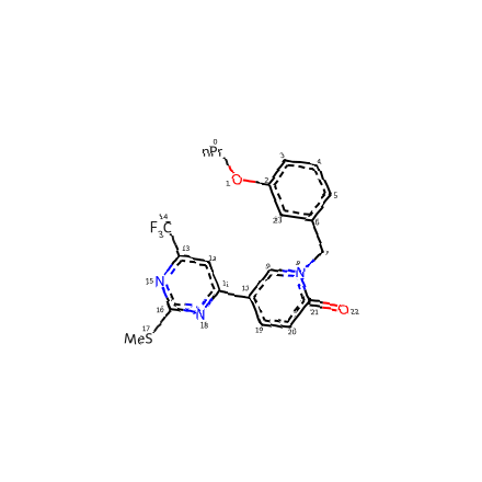 CCCOc1cccc(Cn2cc(-c3cc(C(F)(F)F)nc(SC)n3)ccc2=O)c1